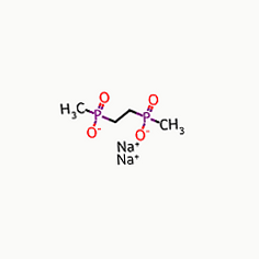 CP(=O)([O-])CCP(C)(=O)[O-].[Na+].[Na+]